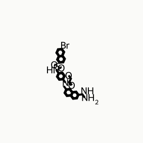 N=C(N)c1ccc2ccc(CN3C(=O)COc4cc(NS(=O)(=O)c5ccc6cc(Br)ccc6c5)ccc43)cc2c1